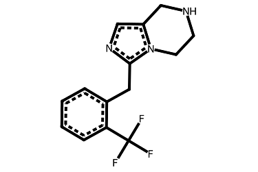 FC(F)(F)c1ccccc1Cc1ncc2n1CCNC2